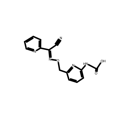 N#CC(=NOCc1cccc(NC(=O)O)n1)c1ccccn1